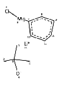 CC(C)(C)[O-].[Cl][Mg][c]1ccccc1.[Li+]